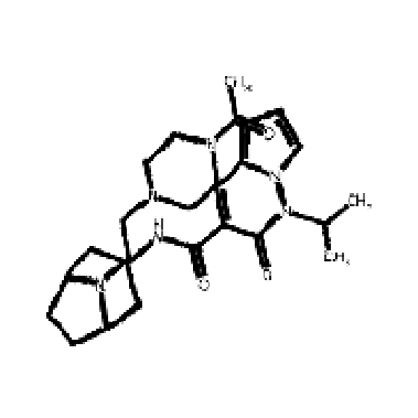 CC(=O)N1CCN(CCN2C3CCC2CC(NC(=O)c2cc4cccn4n(C(C)C)c2=O)C3)CC1